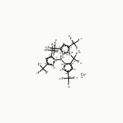 FC(F)(F)c1cc(C(F)(F)F)n([BH-](n2nc(C(F)(F)F)cc2C(F)(F)F)n2nc(C(F)(F)F)cc2C(F)(F)F)n1.[Cu+]